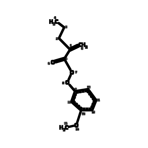 C=C(CCC)C(=O)OOc1cccc(OC)c1